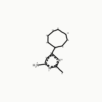 Cc1nc(N)cc(C2CCCCCCC2)n1